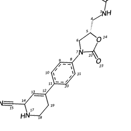 CC(=O)NC[C@H]1CN(c2ccc(C3=CC(C#N)NCC3)cc2)C(=O)O1